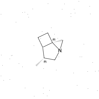 C[C@H]1CN2C[C@]23CCC13